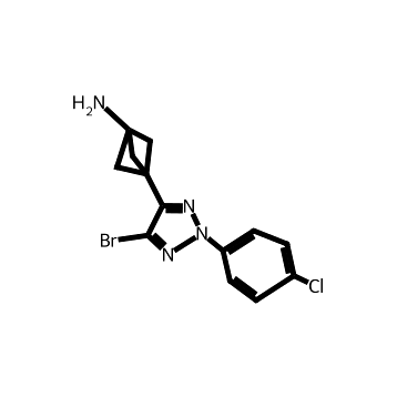 NC12CC(c3nn(-c4ccc(Cl)cc4)nc3Br)(C1)C2